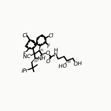 CC(C)C(C)(C)C[C@@H]1N[C@H](OC(=O)NCC[C@@H](O)CO)[C@H](c2cccc(Cl)c2F)[C@@]1(C#N)c1ccc(Cl)cc1F